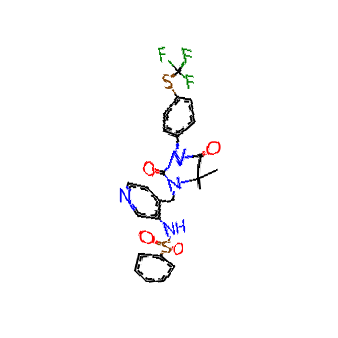 CC1(C)C(=O)N(c2ccc(SC(F)(F)F)cc2)C(=O)N1Cc1ccncc1NS(=O)(=O)c1ccccc1